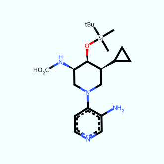 CC(C)(C)[Si](C)(C)O[C@H]1[C@@H](C2CC2)CN(c2ccncc2N)C[C@H]1NC(=O)O